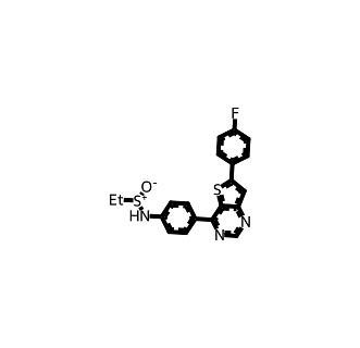 CC[S+]([O-])Nc1ccc(-c2ncnc3cc(-c4ccc(F)cc4)sc23)cc1